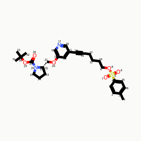 Cc1ccc(S(=O)(=O)OCCCCC#Cc2cncc(OC[C@@H]3CCCN3C(=O)OC(C)(C)C)c2)cc1